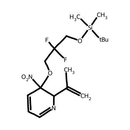 C=C(C)C1N=CC=CC1(OCC(F)(F)CO[Si](C)(C)C(C)(C)C)[N+](=O)[O-]